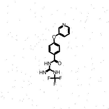 N=C(NC(=O)c1ccc(Oc2cccnc2)cc1)NC(F)(F)F